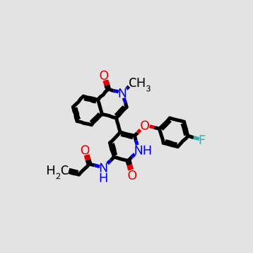 C=CC(=O)Nc1cc(-c2cn(C)c(=O)c3ccccc23)c(Oc2ccc(F)cc2)[nH]c1=O